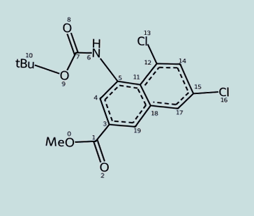 COC(=O)c1cc(NC(=O)OC(C)(C)C)c2c(Cl)cc(Cl)cc2c1